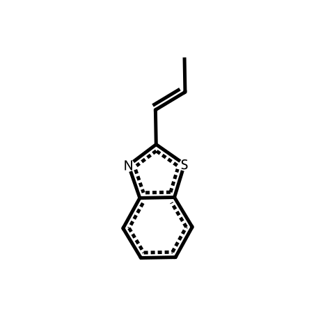 CC=Cc1nc2ccccc2s1